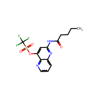 CCCCC(=O)Nc1cc(OS(=O)(=O)C(F)(F)F)c2ncccc2n1